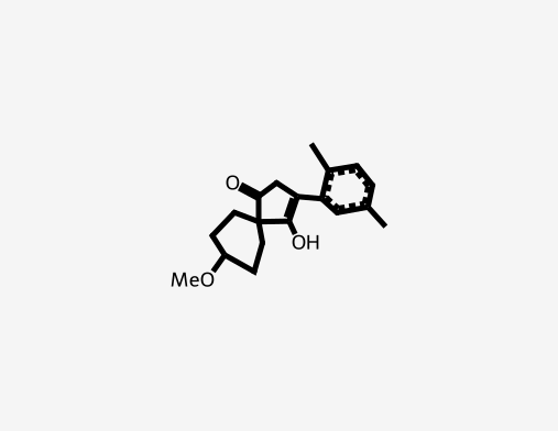 COC1CCC2(CC1)C(=O)CC(c1cc(C)ccc1C)=C2O